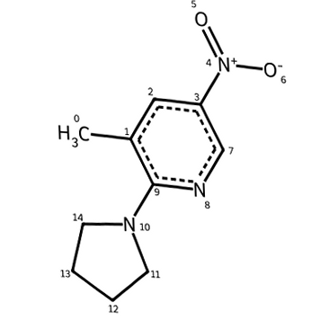 Cc1cc([N+](=O)[O-])cnc1N1CCCC1